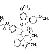 COc1ccc(C2(c3ccc(OC)cc3)C=Cc3c4c(c5cc6c(cc5c3O2)OC(OC)O6)-c2ccccc2C42CC(C)(C)CC(C)(C)C2)cc1